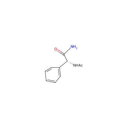 CC(=O)N[C@@H](C(N)=O)c1ccccc1